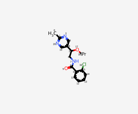 Cc1ncc(C(CNC(=O)c2ccccc2Cl)OC(C)C)cn1